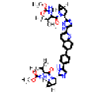 COC(=O)NC(C(=O)N1[C@@H]2C[C@@H]2C[C@H]1c1ncc(-c2ccc3cc(-c4ccc(-c5cnc([C@@H]6C[C@H]7C[C@H]7N6C(=O)[C@@H](NC(=O)OC)C(C)C)[nH]5)cc4)ccc3n2)[nH]1)C(C)C